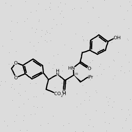 CC(C)C[C@H](NC(=O)Cc1ccc(O)cc1)C(=O)NC(CC(=O)O)c1ccc2c(c1)OCO2